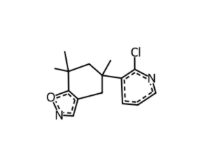 CC1(C)CC(C)(c2cccnc2Cl)Cc2cnoc21